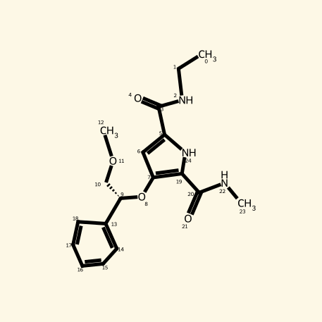 CCNC(=O)c1cc(O[C@@H](COC)c2ccccc2)c(C(=O)NC)[nH]1